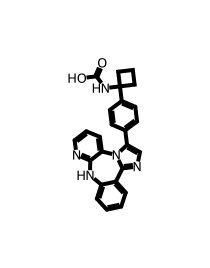 O=C(O)NC1(c2ccc(-c3cnc4n3-c3cccnc3Nc3ccccc3-4)cc2)CCC1